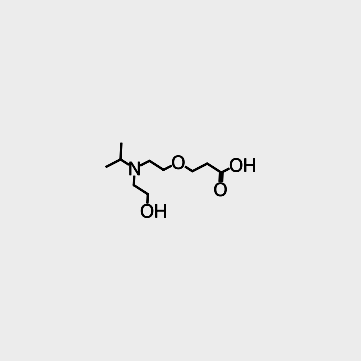 CC(C)N(CCO)CCOCCC(=O)O